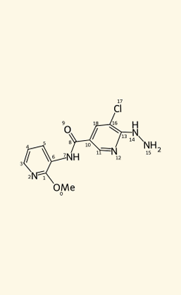 COc1ncccc1NC(=O)c1cnc(NN)c(Cl)c1